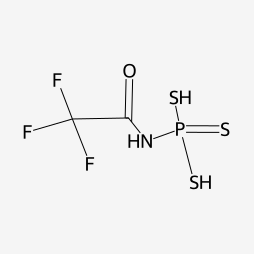 O=C(NP(=S)(S)S)C(F)(F)F